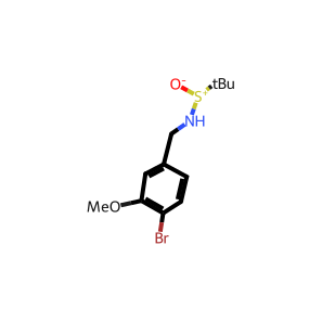 COc1cc(CN[S+]([O-])C(C)(C)C)ccc1Br